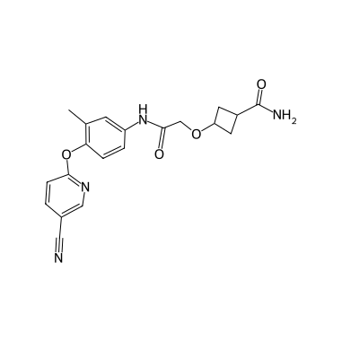 Cc1cc(NC(=O)COC2CC(C(N)=O)C2)ccc1Oc1ccc(C#N)cn1